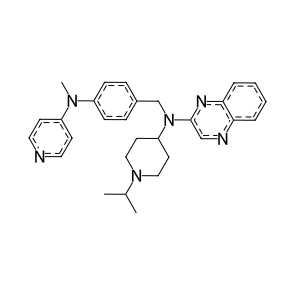 CC(C)N1CCC(N(Cc2ccc(N(C)c3ccncc3)cc2)c2cnc3ccccc3n2)CC1